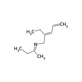 C=C/C=C(\CC)C/N=C(\C)CC